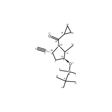 C#C[C@H]1C[C@H](O[Si](C)(C)C(C)(C)C)C(C)N1C(=O)C1CC1